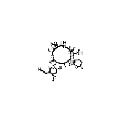 CC[C@H]1OC(=O)[C@H](C)[C@@H](O[C@H]2C[C@@](C)(OC)C(CC#N)[C@H](C)O2)[C@H](C)[C@@H](O[C@@H]2O[C@H](C)CC[C@H]2OC(NC)C(F)(F)F)[C@](C)(O)C[C@@H](C)CN[C@H](C)[C@@H](O)[C@]1(C)O